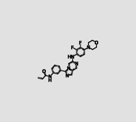 C=CC(=O)Nc1cccc(-c2ncc3cnc(Nc4ccc(N5CCOCC5)c(F)c4F)cn23)c1